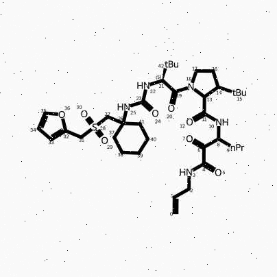 C=CCNC(=O)C(=O)C(CCC)NC(=O)C1C(C(C)(C)C)CCN1C(=O)[C@@H](NC(=O)NC1(CS(=O)(=O)Cc2ccco2)CCCCC1)C(C)(C)C